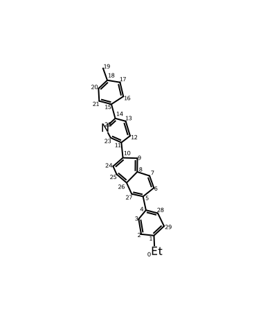 CCc1ccc(-c2ccc3cc(-c4ccc(-c5ccc(C)cc5)nc4)ccc3c2)cc1